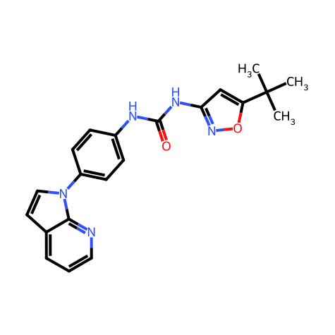 CC(C)(C)c1cc(NC(=O)Nc2ccc(-n3ccc4cccnc43)cc2)no1